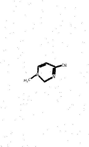 CN1C=CC(C#N)=NC1